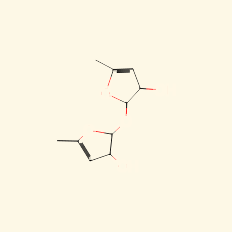 CC1=CC(O)C(OC2OC(C)=CC2O)O1